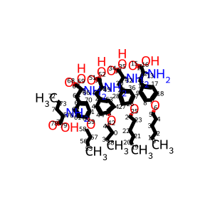 CCCCCCOc1ccc(C[C@H](N)C(=O)O)cc1.CCCCCCOc1ccc(C[C@H](N)C(=O)O)cc1.CCCCOc1ccc(C[C@H](N)C(=O)O)cc1.CCCCOc1ccc(C[C@H](N)C(=O)O)cc1.CCC[C@H](N)C(=O)O